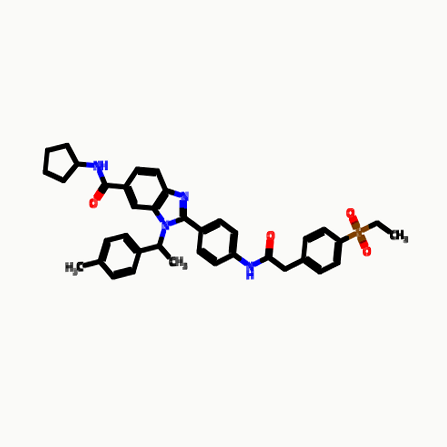 CCS(=O)(=O)c1ccc(CC(=O)Nc2ccc(-c3nc4ccc(C(=O)NC5CCCC5)cc4n3C(C)c3ccc(C)cc3)cc2)cc1